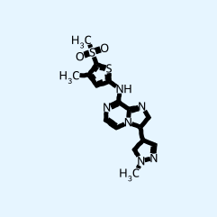 Cc1cc(NC2=NC=CN3C2=NCC3C2C=NN(C)C2)sc1S(C)(=O)=O